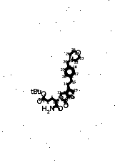 CC(C)(C)OC(=O)CCC(C(N)=O)N1Cc2c(CCc3ccc(CN4CCOCC4)cc3)csc2C1=O